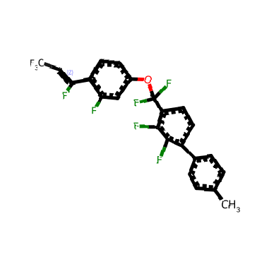 Cc1ccc(-c2ccc(C(F)(F)Oc3ccc(/C(F)=C/C(F)(F)F)c(F)c3)c(F)c2F)cc1